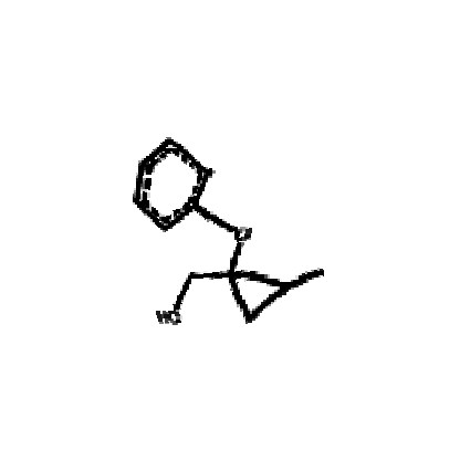 CC1CC1(CO)Oc1ccccc1